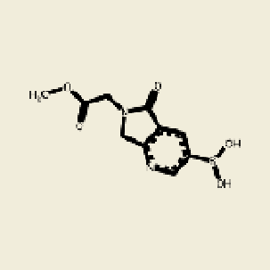 COC(=O)CN1Cc2ncc(B(O)O)cc2C1=O